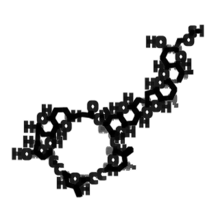 C=C1C[C@@H]2CC[C@]34C[C@@H](O)[C@H](O3)[C@H]3C[C@@H](O4)[C@H]4O[C@H](CC[C@@H]4O3)CC(=O)O[C@@H]3[C@@H](C)[C@@H]4O[C@@H]5C[C@]6(C[C@@H]7O[C@]8(C[C@H](C)[C@@H]9O[C@H](COSI)[C@H](O)C[C@@H]9O8)C[C@H](C)[C@@H]7O6)O[C@@H]5C[C@@H]4O[C@H]3C[C@H]3O[C@@H](CC[C@@H]1O2)C[C@@H](C)C3=C